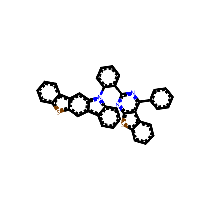 c1ccc(-c2nc(-c3ccccc3-n3c4ccccc4c4cc5sc6ccccc6c5cc43)nc3sc4ccccc4c23)cc1